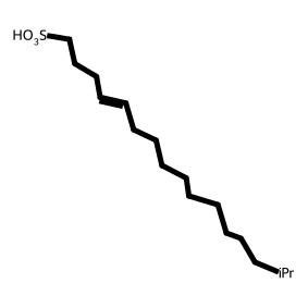 CC(C)CCCCCCCCCC=CCCCS(=O)(=O)O